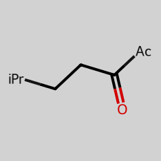 CC(=O)C(=O)CCC(C)C